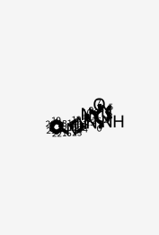 CC1NCN(C)C(=O)c2cnc(N3CCN(Cc4ccccc4)CC3)nc21